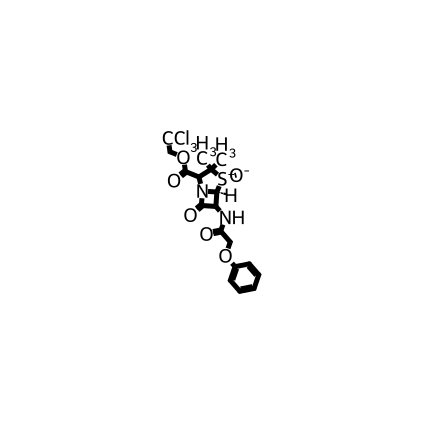 CC1(C)C(C(=O)OCC(Cl)(Cl)Cl)N2C(=O)C(NC(=O)COc3ccccc3)[C@@H]2[S+]1[O-]